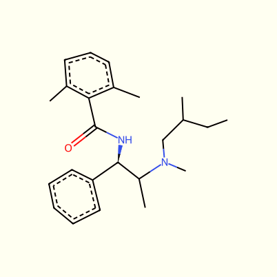 CCC(C)CN(C)C(C)[C@H](NC(=O)c1c(C)cccc1C)c1ccccc1